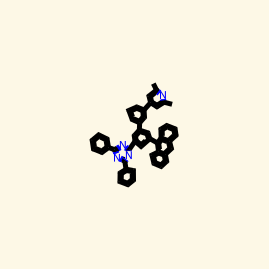 Cc1cc(-c2cccc(-c3cc(-c4nc(-c5ccccc5)nc(-c5ccccc5)n4)cc(-c4c5ccccc5cc5ccccc45)c3)c2)cc(C)n1